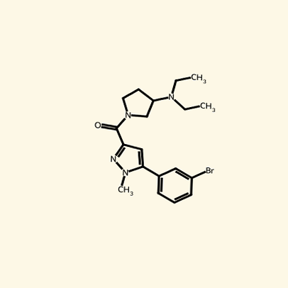 CCN(CC)C1CCN(C(=O)c2cc(-c3cccc(Br)c3)n(C)n2)C1